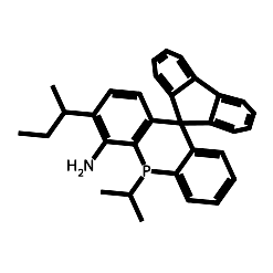 CCC(C)c1ccc2c(c1N)P(C(C)C)c1ccccc1C21c2ccccc2-c2ccccc21